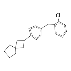 Clc1ccccc1Cc1ccc(C2CC3(CCCC3)C2)cc1